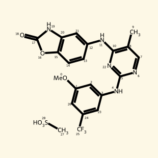 COc1cc(Nc2ncc(C)c(Nc3ccc4oc(=O)[nH]c4c3)n2)cc(C(F)(F)F)c1.CS(=O)(=O)O